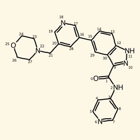 O=C(Nc1ccncc1)c1n[nH]c2ccc(-c3cncc(CN4CCOCC4)c3)cc12